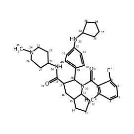 Cc1cccc(F)c1C(=O)N1C2CCCC2CC(C(=O)NC2CCN(C)CC2)C1c1ccc(NC2CCCC2)cc1